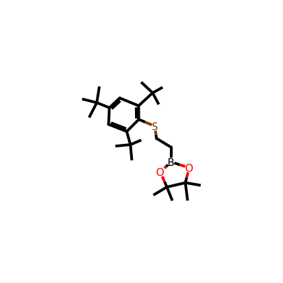 CC(C)(C)c1cc(C(C)(C)C)c(SCCB2OC(C)(C)C(C)(C)O2)c(C(C)(C)C)c1